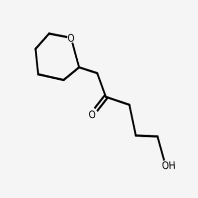 O=C(CCCO)CC1CCCCO1